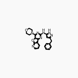 c1ccc(Cc2cc(Nc3nc(N4CCOCC4)c4oc5ncccc5c4n3)[nH]n2)cc1